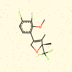 COc1c(C2=C(C)[C@](C)(C(F)(F)F)OC2)ccc(F)c1F